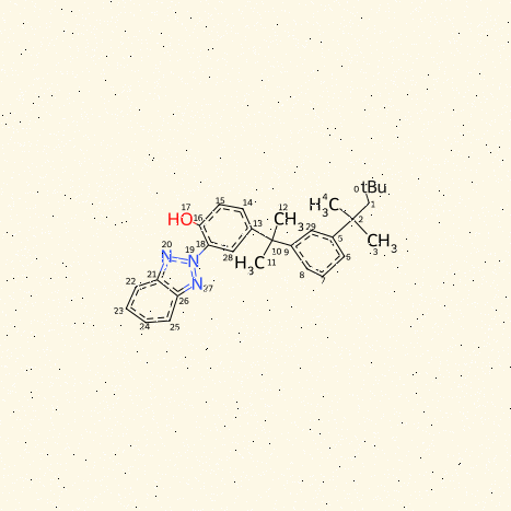 CC(C)(C)CC(C)(C)c1cccc(C(C)(C)c2ccc(O)c(-n3nc4ccccc4n3)c2)c1